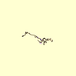 C#CCN(C)CCCO/C=C/C=C(\C=C/C)n1ccc(N)nc1=O